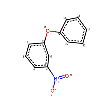 O=[N+]([O-])c1cccc(Oc2cc[c]cc2)c1